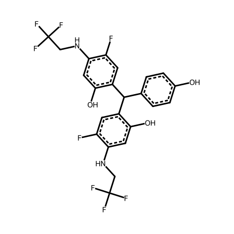 Oc1ccc(C(c2cc(F)c(NCC(F)(F)F)cc2O)c2cc(F)c(NCC(F)(F)F)cc2O)cc1